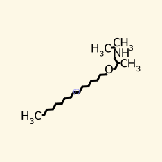 CCCCCCCC/C=C/CCCCCCOCC(C)CNC(C)C